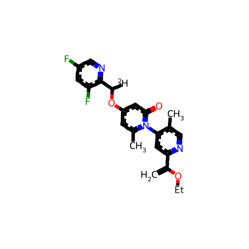 [2H]C(Oc1cc(C)n(-c2cc(C(=C)OCC)ncc2C)c(=O)c1)c1ncc(F)cc1F